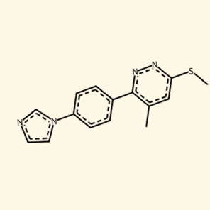 CSc1cc(C)c(-c2ccc(-n3ccnc3)cc2)nn1